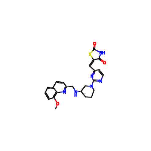 COc1cccc2ccc(CNC3CCCN(c4nccc(/C=C5/SC(=O)NC5=O)n4)C3)nc12